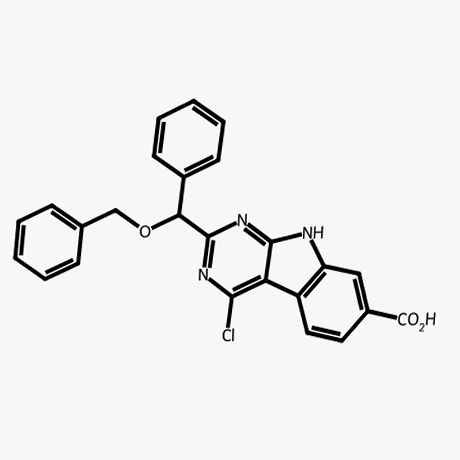 O=C(O)c1ccc2c(c1)[nH]c1nc(C(OCc3ccccc3)c3ccccc3)nc(Cl)c12